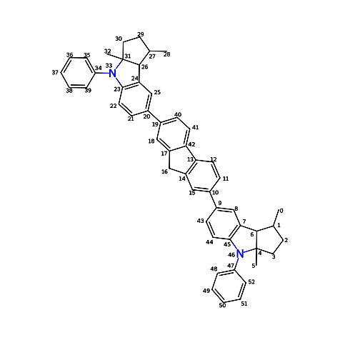 CC1CCC2(C)C1c1cc(-c3ccc4c(c3)Cc3cc(-c5ccc6c(c5)C5C(C)CCC5(C)N6c5ccccc5)ccc3-4)ccc1N2c1ccccc1